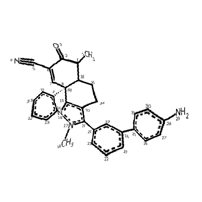 CC1C(=O)C(C#N)=C[C@]2(c3ccccc3)c3nn(C)c(-c4cccc(-c5ccc(N)cc5)c4)c3CCC12